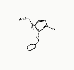 CC(=O)OCNc1ccc(Cl)cc1OCc1ccccc1